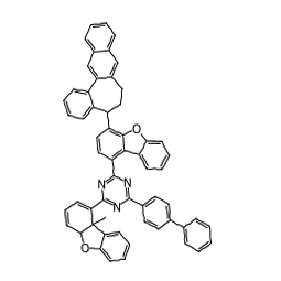 CC12C(c3nc(-c4ccc(-c5ccccc5)cc4)nc(-c4ccc(C5CCc6cc7ccccc7cc6-c6ccccc65)c5oc6ccccc6c45)n3)=CC=CC1Oc1ccccc12